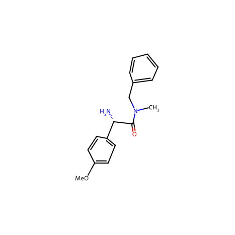 COc1ccc([C@H](N)C(=O)N(C)Cc2ccccc2)cc1